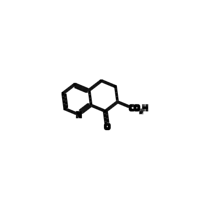 O=C(O)C1CCc2cccnc2C1=O